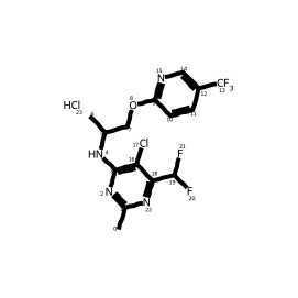 Cc1nc(NC(C)COc2ccc(C(F)(F)F)cn2)c(Cl)c(C(F)F)n1.Cl